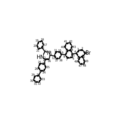 Brc1ccc(-c2ccc(-c3ccc(C4=NC(c5ccccc5)NC(c5ccc(-c6ccccc6)cc5)=C4)cc3)c3ccccc23)c2ccccc12